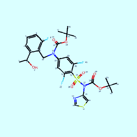 CC(O)c1cccc(F)c1CN(C(=O)OC(C)(C)C)c1cc(F)c(S(=O)(=O)N(C(=O)OC(C)(C)C)c2cscn2)c(F)c1